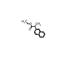 CCOC(=O)C(C)c1ccc2ccccc2c1